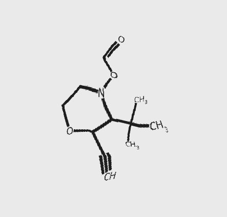 C#CC1OCCN(OC=O)C1C(C)(C)C